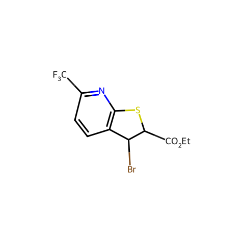 CCOC(=O)C1Sc2nc(C(F)(F)F)ccc2C1Br